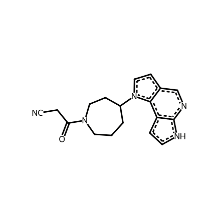 N#CCC(=O)N1CCCC(n2ccc3cnc4[nH]ccc4c32)CC1